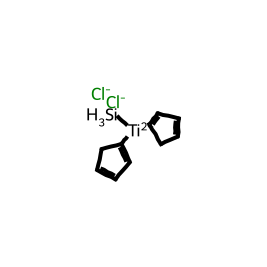 [Cl-].[Cl-].[SiH3][Ti+2]([C]1=CC=CC1)[C]1=CC=CC1